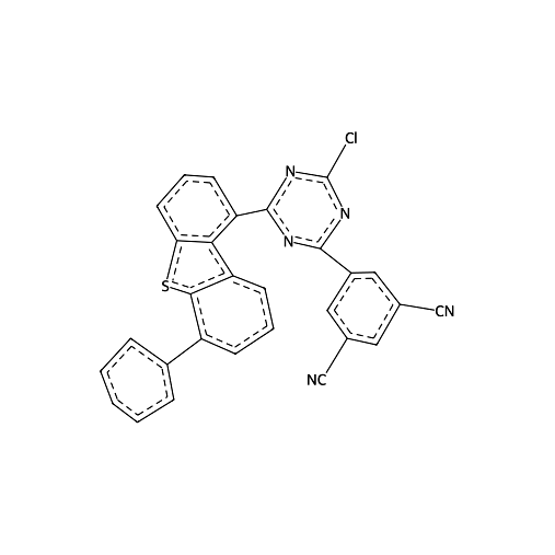 N#Cc1cc(C#N)cc(-c2nc(Cl)nc(-c3cccc4sc5c(-c6ccccc6)cccc5c34)n2)c1